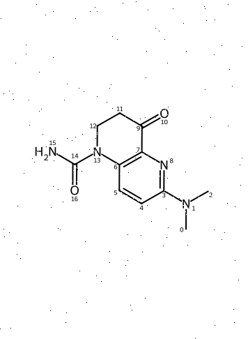 CN(C)c1ccc2c(n1)C(=O)CCN2C(N)=O